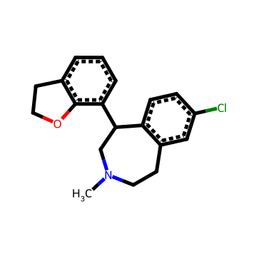 CN1CCc2cc(Cl)ccc2C(c2cccc3c2OCC3)C1